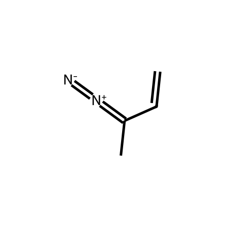 C=CC(C)=[N+]=[N-]